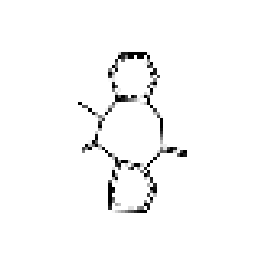 C=C1Cc2ccccc2N(C)C(=O)c2ccccc21